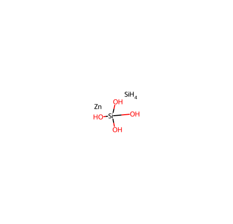 O[Si](O)(O)O.[SiH4].[Zn]